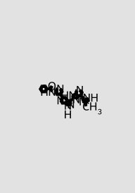 Cc1c[nH]c(-c2cncc3[nH]c(-c4n[nH]c5cnc(-c6cncc(NC(=O)c7ccccc7)c6)cc45)nc23)n1